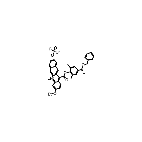 CCOc1ccc2c(C(=O)Oc3c(C)cc(C(=O)OCc4ccccc4)cc3C)c3cc4ccccc4cc3[n+](C)c2c1.O=S(=O)([O-])F